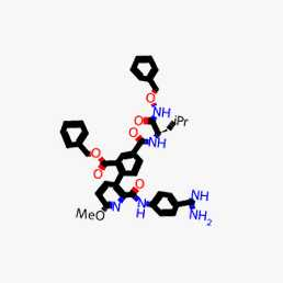 COc1ccc(-c2ccc(C(=O)N[C@@H](CC(C)C)C(=O)NOCc3ccccc3)cc2C(=O)OCc2ccccc2)c(C(=O)Nc2ccc(C(=N)N)cc2)n1